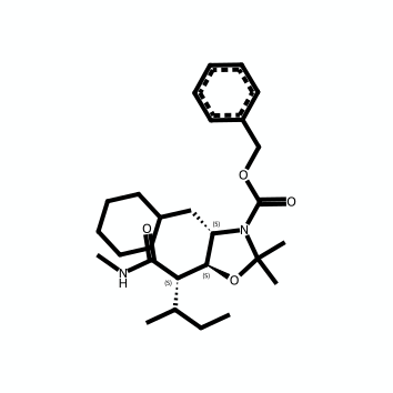 CCC(C)[C@H](C(=O)NC)[C@@H]1OC(C)(C)N(C(=O)OCc2ccccc2)[C@H]1CC1CCCCC1